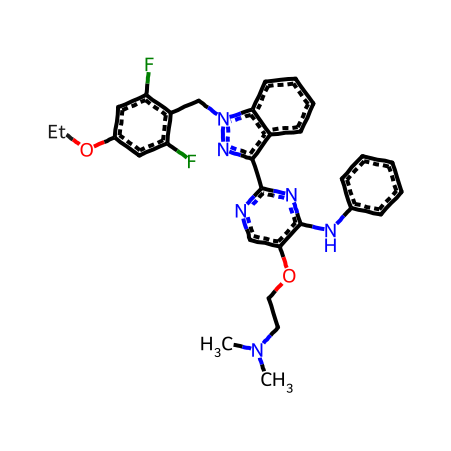 CCOc1cc(F)c(Cn2nc(-c3ncc(OCCN(C)C)c(Nc4ccccc4)n3)c3ccccc32)c(F)c1